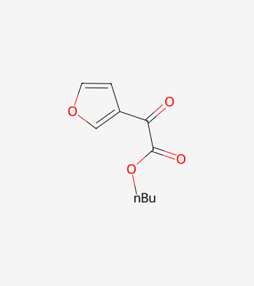 CCCCOC(=O)C(=O)c1ccoc1